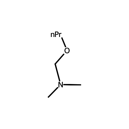 [CH2]CCOCN(C)C